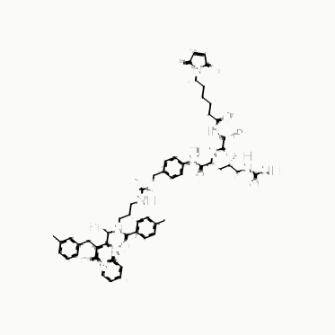 Cc1ccc(C(=O)N(CCCNC(=O)OCc2ccc(NC(=O)[C@H](CCCNC(N)=O)NC(=O)[C@@H](NC(=O)CCCCCN3C(=O)C=CC3=O)C(C)C)cc2)C(c2nc3ccccn3c(=O)c2Cc2cccc(C)c2)C(C)C)cc1